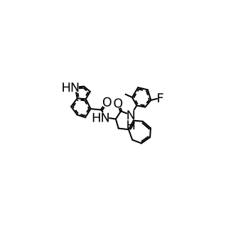 Cc1ccc(F)cc1NC(=O)C(CC1=CC=CC=CC1)NC(=O)c1cccc2[nH]ccc12